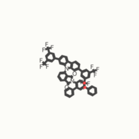 O=C1c2cccc(-n3c4cc(-c5cc(C(F)(F)F)cc(C(F)(F)F)c5)ccc4c4ccc(-c5cc(C(F)(F)F)cc(C(F)(F)F)c5)cc43)c2C(=O)N1c1ccc(-c2ccccc2)cc1-c1ccccc1